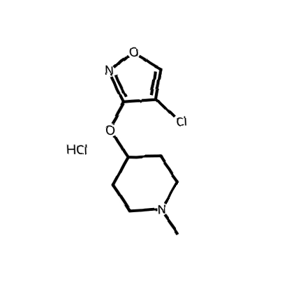 CN1CCC(Oc2nocc2Cl)CC1.Cl